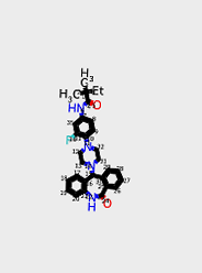 CCC(C)(C)C(=O)Nc1ccc(N2CCN(C3c4ccccc4NC(=O)c4ccccc43)CC2)c(F)c1